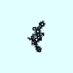 C=CC(=O)Nc1cc2c(Nc3ccc(OCc4ccccn4)c(Cl)c3)c(C#N)cnc2cc1OCCN1CCOCC1